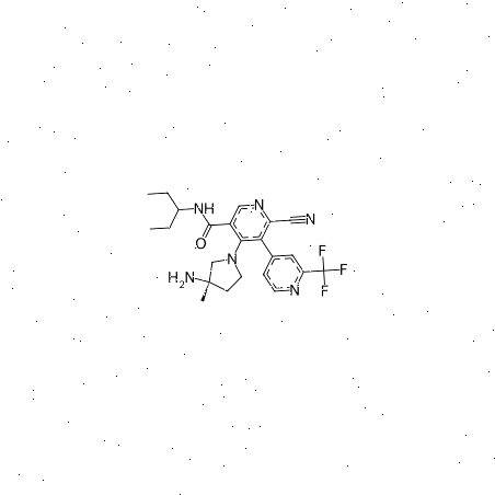 CCC(CC)NC(=O)c1cnc(C#N)c(-c2ccnc(C(F)(F)F)c2)c1N1CC[C@](C)(N)C1